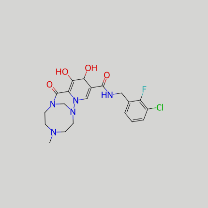 CN1CCN2CN(CC1)N1C=C(C(=O)NCc3cccc(Cl)c3F)C(O)C(O)=C1C2=O